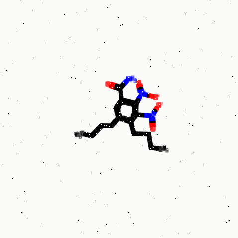 CCCCc1cc(C(N)=O)c([N+](=O)[O-])c([N+](=O)[O-])c1CCCC